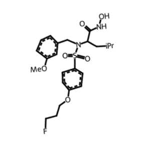 COc1cccc(CN(C(CC(C)C)C(=O)NO)S(=O)(=O)c2ccc(OCCCF)cc2)c1